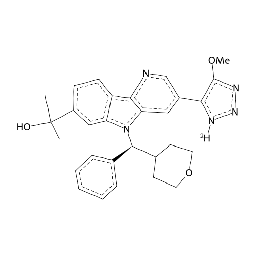 [2H]n1nnc(OC)c1-c1cnc2c3ccc(C(C)(C)O)cc3n([C@H](c3ccccc3)C3CCOCC3)c2c1